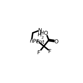 CCCCCCN.O=C(O)C(F)(F)F